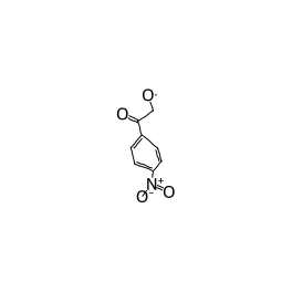 [O]CC(=O)c1ccc([N+](=O)[O-])cc1